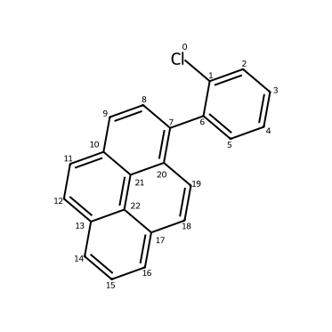 Clc1ccccc1-c1ccc2ccc3cccc4ccc1c2c34